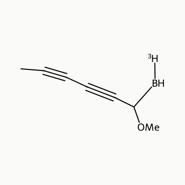 [3H]BC(C#CC#CC)OC